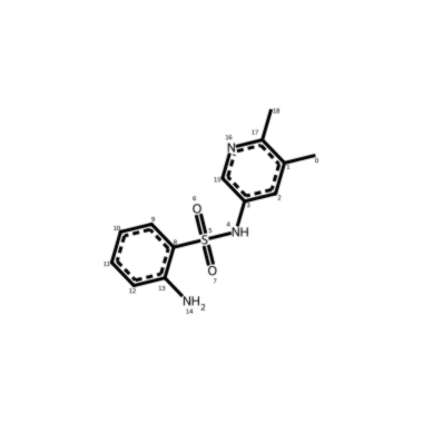 Cc1cc(NS(=O)(=O)c2ccccc2N)cnc1C